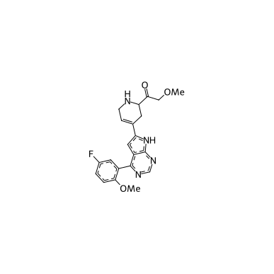 COCC(=O)C1CC(c2cc3c(-c4cc(F)ccc4OC)ncnc3[nH]2)=CCN1